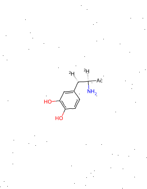 [2H][C@@H](c1ccc(O)c(O)c1)[C@]([2H])(N)C(C)=O